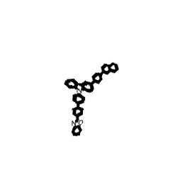 c1ccc2cc(-c3ccc(-c4ccc5c(c4)c4ccccc4n5-c4ccc(-c5ccc(-c6nc7ccccc7o6)cc5)cc4)cc3)ccc2c1